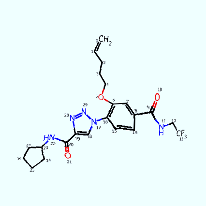 C=CCCCOc1cc(C(=O)NCC(F)(F)F)ccc1-n1cc(C(=O)NC2CCCC2)nn1